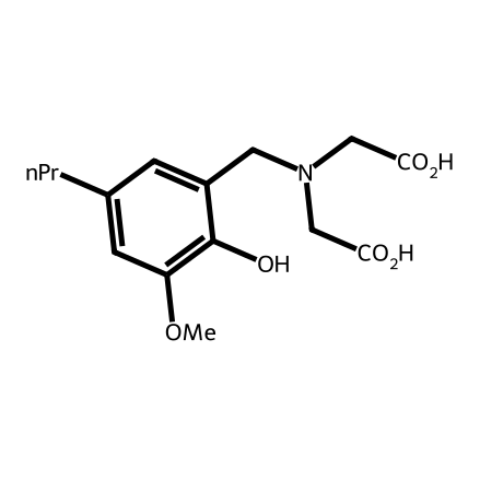 CCCc1cc(CN(CC(=O)O)CC(=O)O)c(O)c(OC)c1